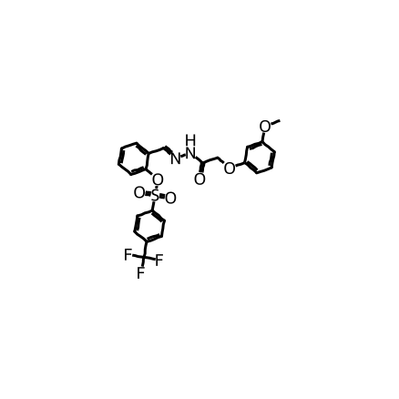 COc1cccc(OCC(=O)NN=Cc2ccccc2OS(=O)(=O)c2ccc(C(F)(F)F)cc2)c1